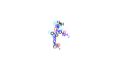 CCN(C1COC1)[C@H]1CCN(c2nc3nc([C@H](Cc4cc(F)cc(F)c4)NC(=O)Cn4nc(C(F)(F)F)c5c4C(F)(F)[C@@H]4C[C@H]54)c(-c4ccc(F)c(C(N)=O)c4)cc3s2)C1